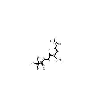 CNCCN(C)C(=O)COC(=O)C(F)(F)F